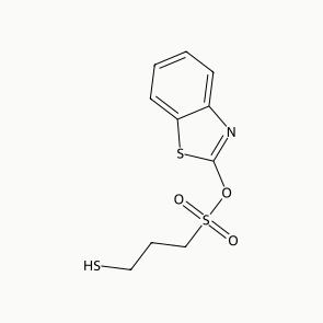 O=S(=O)(CCCS)Oc1nc2ccccc2s1